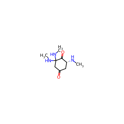 CN[C@@H]1CC(=O)CC(NC)(NC)C1=O